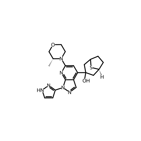 C[C@@H]1COCCN1c1cc(C2(O)CC3CC[C@@H](C2)S3)c2cnn(-c3cc[nH]n3)c2n1